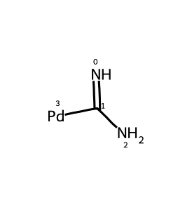 N=[C](N)[Pd]